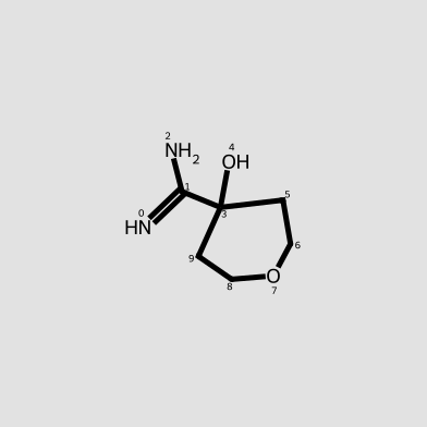 N=C(N)C1(O)CCOCC1